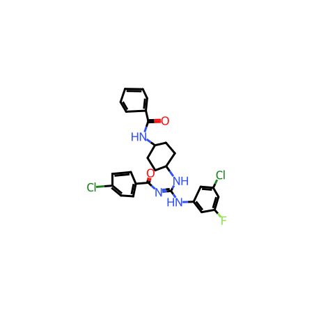 O=C(/N=C(/Nc1cc(F)cc(Cl)c1)NC1CCC(NC(=O)c2ccccc2)CC1)c1ccc(Cl)cc1